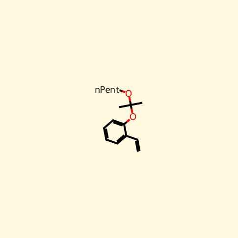 C=Cc1ccccc1OC(C)(C)OCCCCC